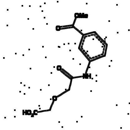 COC(=O)c1cccc(NC(=O)COCC(=O)O)c1